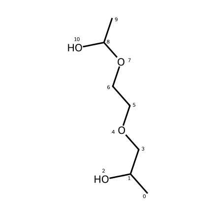 CC(O)COCCOC(C)O